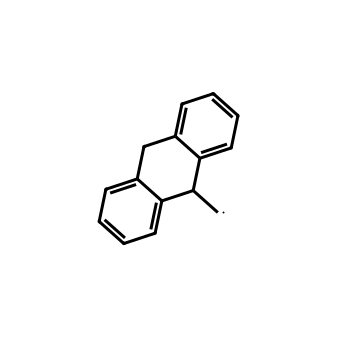 [CH2]C1c2ccccc2Cc2ccccc21